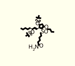 CCCCC[C@@H](C=C[C@@H]1C(SCCCCCC(N)=O)=C(OC(=O)CCC)C[C@H]1O[Si](C)(C)C(C)(C)C)O[Si](C)(C)C(C)(C)C